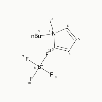 CCCC[N+]1(C)C=CC=C1.F[B-](F)(F)F